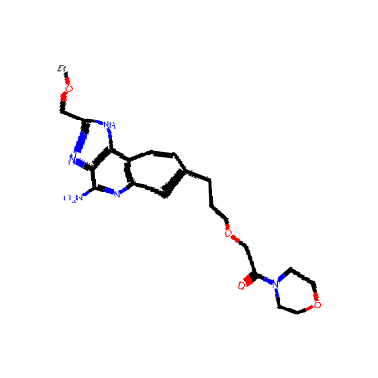 CCOCc1nc2c(N)nc3cc(CCCOCC(=O)N4CCOCC4)ccc3c2[nH]1